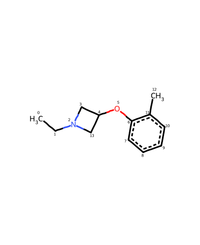 CCN1CC(Oc2ccccc2C)C1